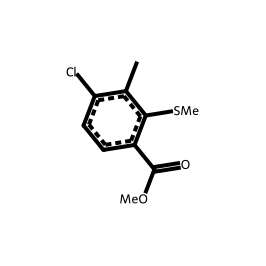 COC(=O)c1ccc(Cl)c(C)c1SC